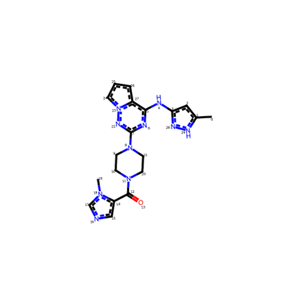 Cc1cc(Nc2nc(N3CCN(C(=O)c4cncn4C)CC3)nn3cccc23)n[nH]1